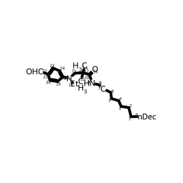 CCCCCCCCCCCCCCCCCCNC(=O)C(C)(C)CN(CC)c1ccc(C=O)cc1